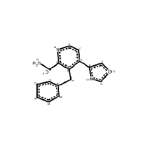 NC(=O)c1nccc(-c2cocn2)c1Cc1ccccc1